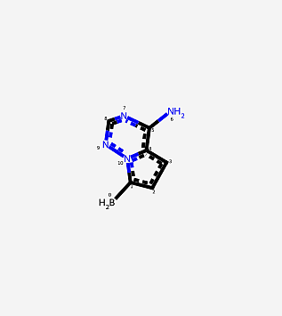 Bc1ccc2c(N)ncnn12